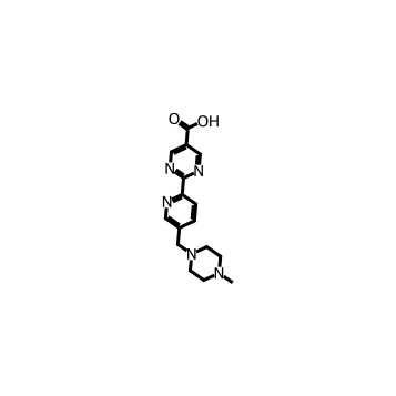 CN1CCN(Cc2ccc(-c3ncc(C(=O)O)cn3)nc2)CC1